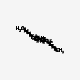 CCCCCCCCOc1ccc(-c2ccc(OCC(F)CCCCCC)cn2)cc1